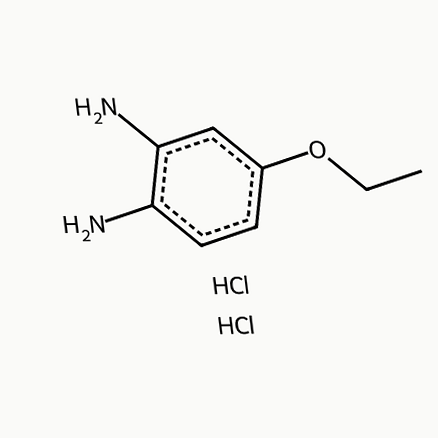 CCOc1ccc(N)c(N)c1.Cl.Cl